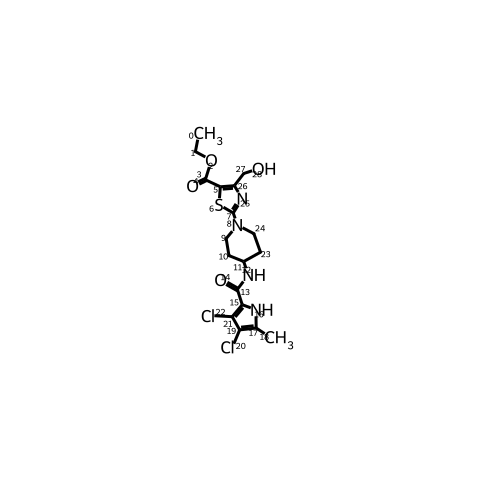 CCOC(=O)c1sc(N2CCC(NC(=O)c3[nH]c(C)c(Cl)c3Cl)CC2)nc1CO